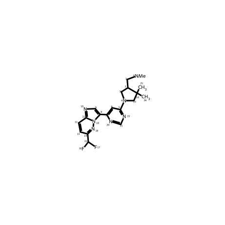 CNCC1CN(c2cc(-c3cnc4ccc(C(F)F)nn34)ncn2)CC1(C)C